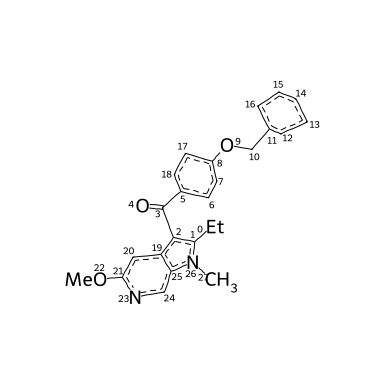 CCc1c(C(=O)c2ccc(OCc3ccccc3)cc2)c2cc(OC)ncc2n1C